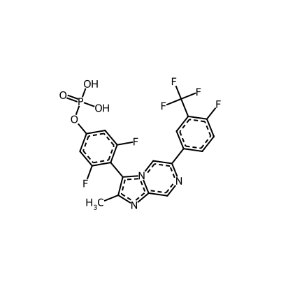 Cc1nc2cnc(-c3ccc(F)c(C(F)(F)F)c3)cn2c1-c1c(F)cc(OP(=O)(O)O)cc1F